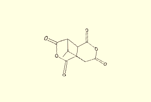 CC1C2C(=O)OC(=O)C3C1C(=O)OC(=O)C23